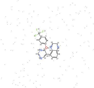 FC(F)(F)c1ccc(Oc2ncncc2-c2cccc3nccnc23)cc1